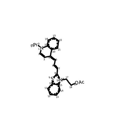 CCCN1C=C/C(=C\C=C\c2sc3ccccc3[n+]2CCOC(C)=O)c2ccccc21